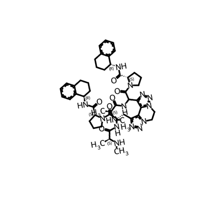 CN[C@@H](C)C(=O)NC(C(=O)N1CCC[C@H]1C(=O)N[C@@H]1CCCc2ccccc21)c1nnn2c1-c1c(C[C@H](NC(=O)[C@H](C)NC)C(=O)N3CCC[C@H]3C(=O)N[C@@H]3CCCc4ccccc43)nnn1CC2